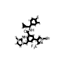 Cc1cc([C@@H](NC(=O)c2cc(CN3CCN(C)C3=N)cc(-c3cn(C(C)C)nc3C(F)(F)F)c2)C2CC2)ccc1F